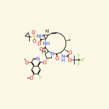 COc1cc2c(OC)cnc(O[C@@H]3C[C@H]4C(=O)N[C@]5(C(=O)NS(=O)(=O)C6(C)CC6)C[C@H]5/C=C\CC[C@@H](C)C[C@@H](C)[C@H](NC(=O)OC(C)(C)C(F)(F)F)C(=O)N4C3)c2cc1F